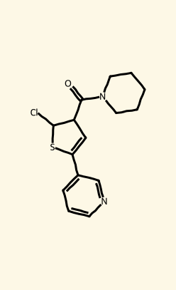 O=C(C1C=C(c2cccnc2)SC1Cl)N1CCCCC1